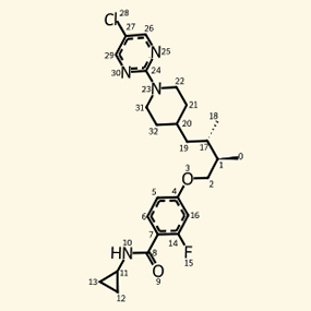 C[C@@H](COc1ccc(C(=O)NC2CC2)c(F)c1)[C@@H](C)CC1CCN(c2ncc(Cl)cn2)CC1